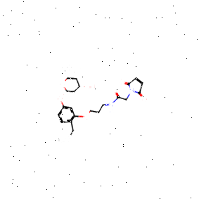 CC(=O)OCc1ccc(O[C@H]2C[C@@H](O)C[C@@H](C(=O)O)O2)cc1OCCCNC(=O)CN1C(=O)C=CC1=O